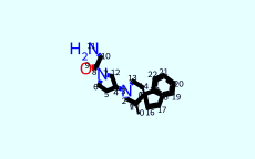 C[C@H]1CN(C2CCN(C(=O)CN)C2)CC[C@@]12C=Cc1ccccc12